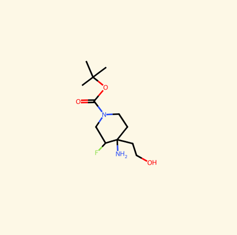 CC(C)(C)OC(=O)N1CCC(N)(CCO)C(F)C1